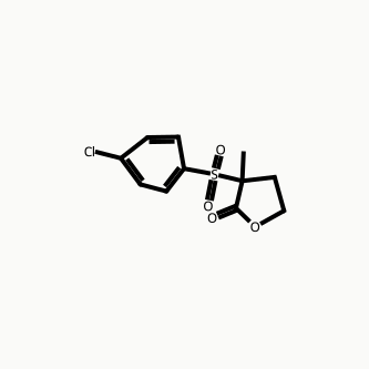 CC1(S(=O)(=O)c2ccc(Cl)cc2)CCOC1=O